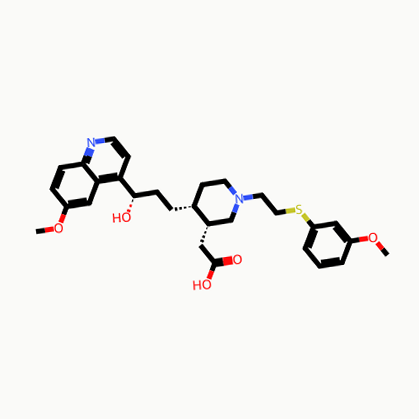 COc1cccc(SCCN2CC[C@@H](CC[C@H](O)c3ccnc4ccc(OC)cc34)[C@@H](CC(=O)O)C2)c1